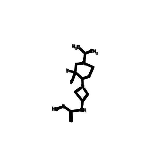 CC(C)N1CCC(N2CC(NC(=O)SS)C2)C(F)(F)C1